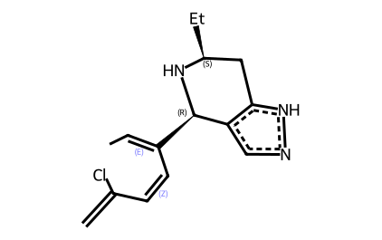 C=C(Cl)/C=C\C(=C/C)[C@H]1N[C@@H](CC)Cc2[nH]ncc21